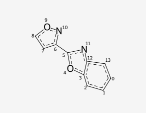 c1ccc2oc(-c3ccon3)nc2c1